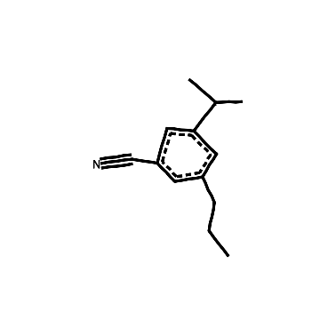 CCCc1cc(C#N)cc([C](C)C)c1